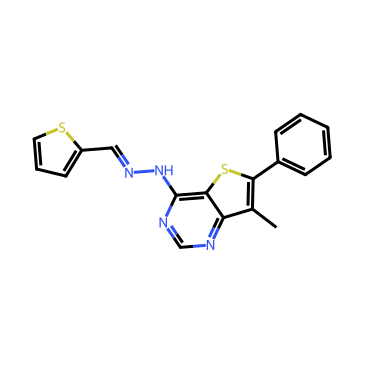 Cc1c(-c2ccccc2)sc2c(NN=Cc3cccs3)ncnc12